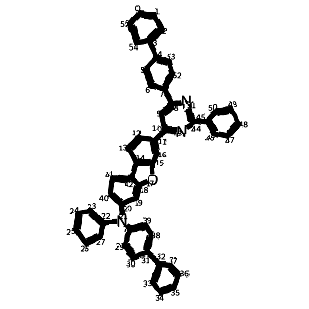 c1ccc(-c2ccc(-c3cc(-c4ccc5c(c4)oc4cc(N(c6ccccc6)c6ccc(-c7ccccc7)cc6)ccc45)nc(-c4ccccc4)n3)cc2)cc1